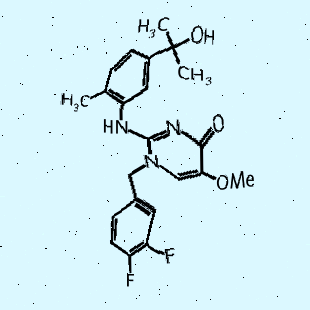 COc1cn(Cc2ccc(F)c(F)c2)c(Nc2cc(C(C)(C)O)ccc2C)nc1=O